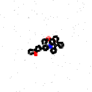 c1ccc(N(c2ccc(-c3ccc4c(c3)oc3ccccc34)cc2)c2cccc3oc4ccccc4c23)c(-c2cc3ccccc3c3ccccc23)c1